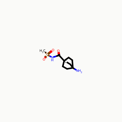 CS(=O)(=O)NC(=O)C12CCC(N)(CC1)CC2